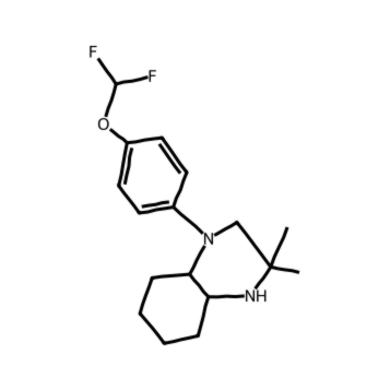 CC1(C)CN(c2ccc(OC(F)F)cc2)C2CCCCC2N1